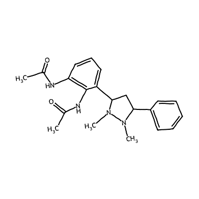 CC(=O)Nc1cccc(C2CC(c3ccccc3)N(C)N2C)c1NC(C)=O